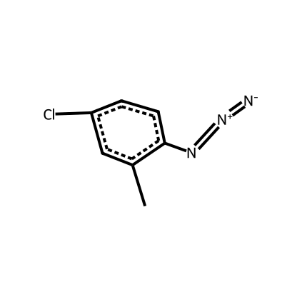 Cc1cc(Cl)ccc1N=[N+]=[N-]